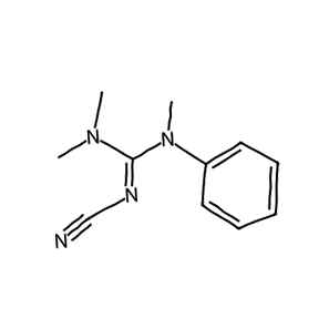 CN(C)C(=NC#N)N(C)c1ccccc1